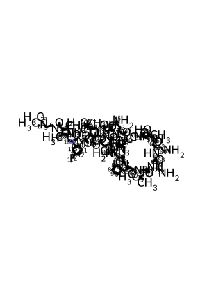 CCN(CC)CCNC(=O)c1c(C)[nH]c(/C=C2\C(=O)N(C(=O)Oc3c(COC(=O)C(C)C(C)C(=O)N[C@@H](CO)C(=O)N[C@@H](CCN)C(=O)N[C@H]4CCNC(=O)[C@H]([C@@H](C)O)NC(=O)[C@H](CCN)NC(=O)[C@H](CCN)NC(=O)[C@H](CC(C)C)NC(=O)[C@@H](Cc5ccccc5)NC(=O)[C@H](CCN)NC4=O)cccc3C(C)(C)C)c3ccc(F)cc32)c1C